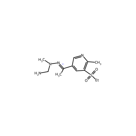 CCS(=O)(=O)c1cc(/C(C)=N/N(C)CN)cnc1C